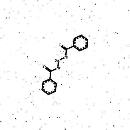 O=C([NH][Sm][NH]C(=O)c1ccccc1)c1ccccc1